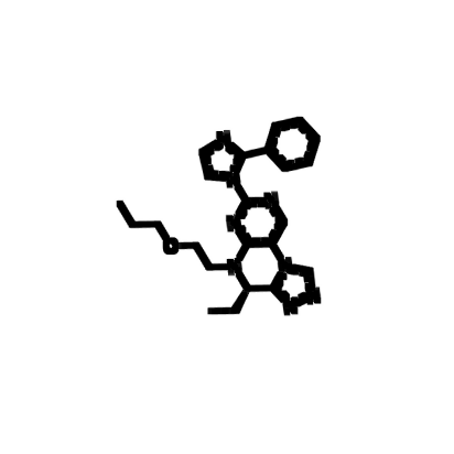 CCCOCCN1c2nc(-n3ccnc3-c3ccccc3)ncc2-n2cnnc2[C@H]1CC